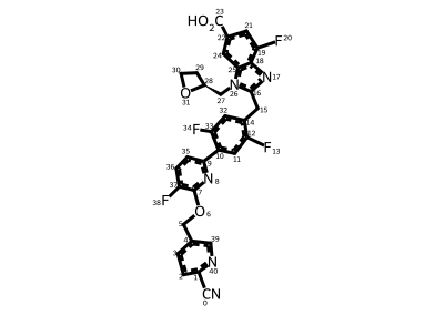 N#Cc1ccc(COc2nc(-c3cc(F)c(Cc4nc5c(F)cc(C(=O)O)cc5n4C[C@@H]4CCO4)cc3F)ccc2F)cn1